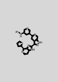 CC(C)Nc1cncc(-c2cc3c(-c4nc5c(-c6cccs6)nccc5[nH]4)n[nH]c3cn2)c1